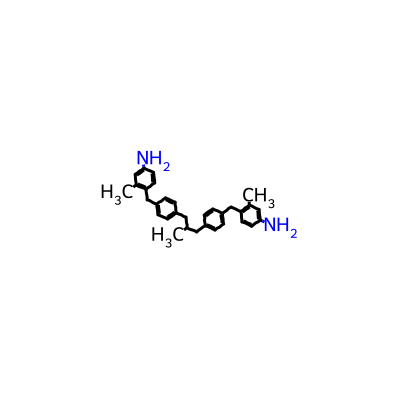 Cc1cc(N)ccc1Cc1ccc(CC(C)Cc2ccc(Cc3ccc(N)cc3C)cc2)cc1